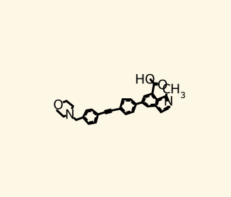 Cc1nccc2cc(-c3ccc(C#Cc4ccc(CN5CCOCC5)cc4)cc3)cc(C(=O)O)c12